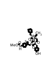 C=CCN1CC(=O)N2[C@@H](Cc3ccc(O)cc3)C(=O)N(Cc3csc4cc(NC(=O)OC)ccc34)C[C@@H]2N1C(=O)NCc1ccccc1